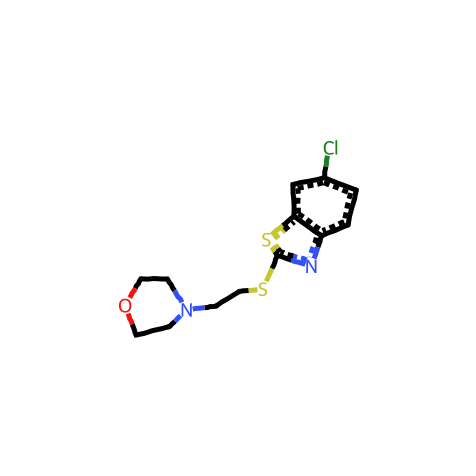 Clc1ccc2nc(SCCN3CCOCC3)sc2c1